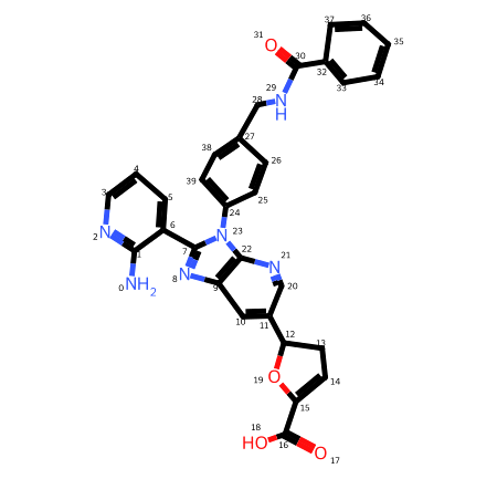 Nc1ncccc1-c1nc2cc(C3CC=C(C(=O)O)O3)cnc2n1-c1ccc(CNC(=O)c2ccccc2)cc1